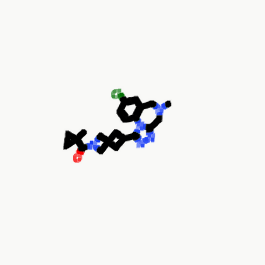 CN1Cc2cc(Cl)ccc2-n2c(nnc2C2CC3(C2)CN(C(=O)C2(C)CC2)C3)C1